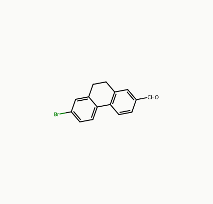 O=Cc1ccc2c(c1)CCc1cc(Br)ccc1-2